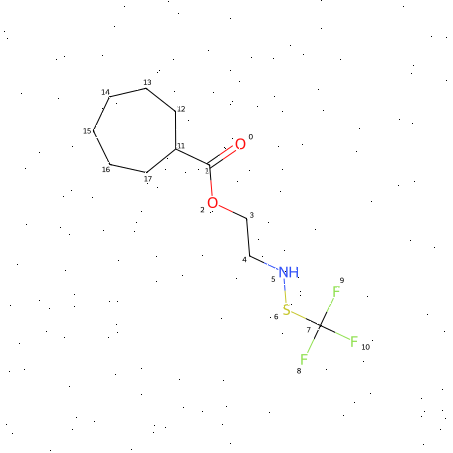 O=C(OCCNSC(F)(F)F)C1CCCCCC1